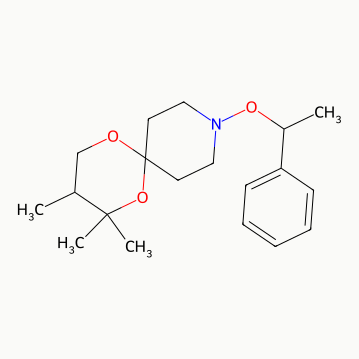 CC(ON1CCC2(CC1)OCC(C)C(C)(C)O2)c1ccccc1